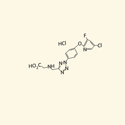 Cl.O=C(O)CNCc1nnn(-c2ccc(Oc3ncc(Cl)cc3F)cc2)n1